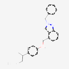 CC(CC(=O)O)c1ccc(OCc2cccc3nn(Cc4ccccc4)cc23)cc1